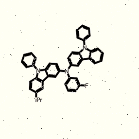 CC(C)c1ccc2c(c1)c1cc(N(c3cccc(F)c3)c3ccc4c(c3)c3ccccc3n4-c3ccccc3)ccc1n2-c1ccccc1